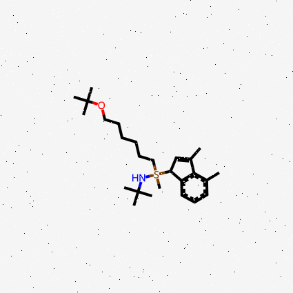 CC1=CC(S(C)(CCCCCCOC(C)(C)C)NC(C)(C)C)c2cccc(C)c21